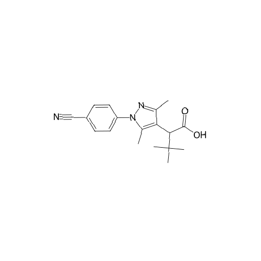 Cc1nn(-c2ccc(C#N)cc2)c(C)c1C(C(=O)O)C(C)(C)C